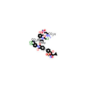 CCOC(=O)/C(Cl)=C/c1cc(N2C(=O)C3=C(CCCC3)C2=O)ccc1Cl.CCc1cccc(C)c1N(C(=O)CCl)C(C)COC.CP(=O)(O)CCC(N)C(=O)O.CS(=O)(=O)c1cc(C(F)(F)F)ccc1C(=O)c1cnoc1C1CC1